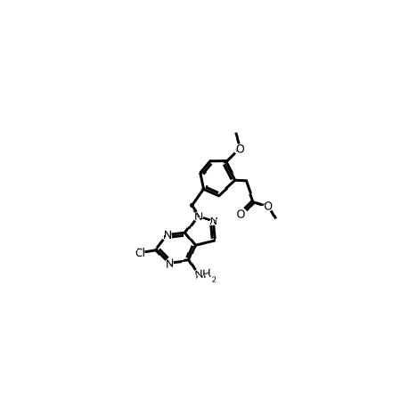 COC(=O)Cc1cc(Cn2ncc3c(N)nc(Cl)nc32)ccc1OC